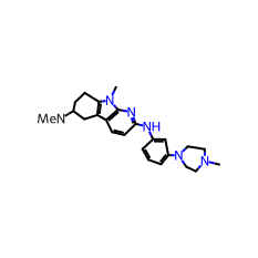 CNC1CCc2c(c3ccc(Nc4cccc(N5CCN(C)CC5)c4)nc3n2C)C1